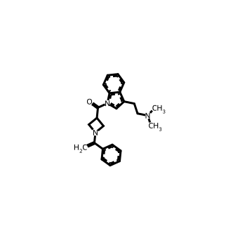 C=C(c1ccccc1)N1CC(C(=O)n2cc(CCN(C)C)c3ccccc32)C1